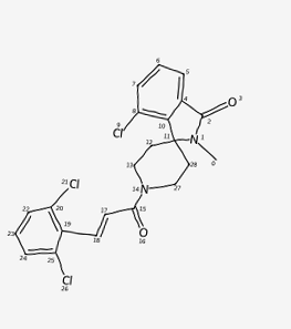 CN1C(=O)c2cccc(Cl)c2C12CCN(C(=O)C=Cc1c(Cl)cccc1Cl)CC2